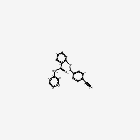 N#Cc1ccc(COc2ccccc2C(=O)Nc2cccnc2)cc1